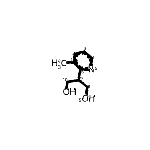 Cc1cccnc1C(CO)CO